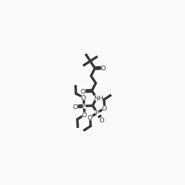 CCOP(=O)(OCC)C(NC(=O)CCC(=O)C(C)(C)C)P(=O)(OCC)OCC